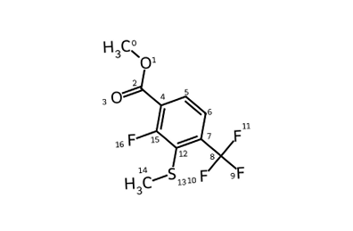 COC(=O)c1ccc(C(F)(F)F)c(SC)c1F